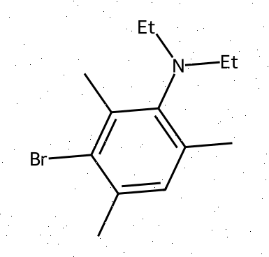 CCN(CC)c1c(C)cc(C)c(Br)c1C